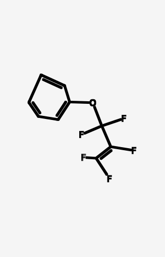 FC(F)=C(F)C(F)(F)Oc1ccccc1